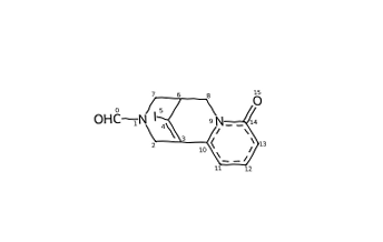 O=CN1CC2=C(I)C(C1)Cn1c2cccc1=O